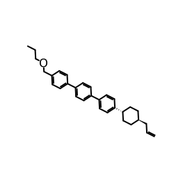 C=CC[C@H]1CC[C@H](c2ccc(-c3ccc(-c4ccc(COCCC)cc4)cc3)cc2)CC1